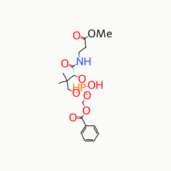 COC(=O)CCNC(=O)[C@@H]1O[PH](O)(OCOC(=O)c2ccccc2)OCC1(C)C